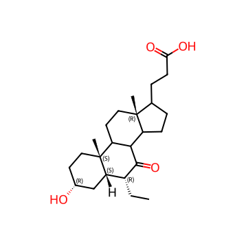 CC[C@H]1C(=O)C2C3CCC(CCC(=O)O)[C@@]3(C)CCC2[C@@]2(C)CC[C@@H](O)C[C@@H]12